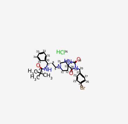 CC(C)(C)C(=O)N[C@@H](CCN1CCC2(CC1)NC(=O)N(Cc1ccc(Br)cc1)C2=O)c1ccccc1.Cl